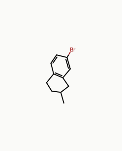 CC1CCc2ccc(Br)cc2C1